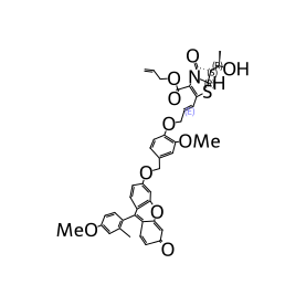 C=CCOC(=O)C1=C(/C=C/COc2ccc(COc3ccc4c(-c5ccc(OC)cc5C)c5ccc(=O)cc-5oc4c3)cc2OC)S[C@@H]2[C@@H]([C@@H](C)O)C(=O)N12